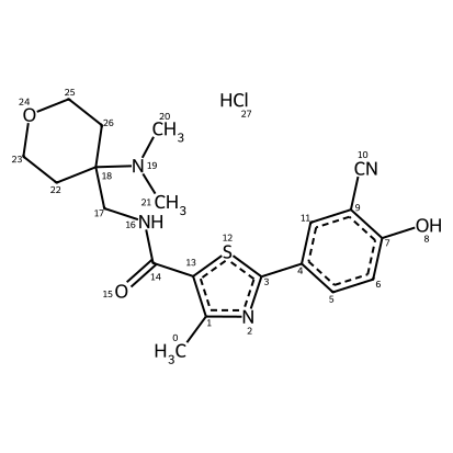 Cc1nc(-c2ccc(O)c(C#N)c2)sc1C(=O)NCC1(N(C)C)CCOCC1.Cl